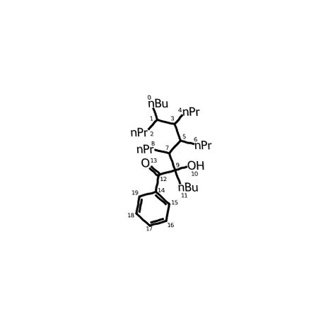 CCCCC(CCC)C(CCC)C(CCC)C(CCC)C(O)(CCCC)C(=O)c1ccccc1